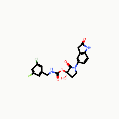 O=C1Cc2cc(N3CC[C@@](O)(OC(=O)NCc4cc(F)cc(Cl)c4)C3=O)ccc2N1